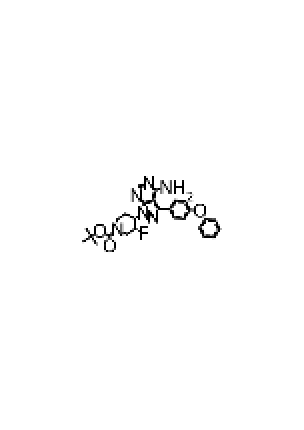 CC(C)(C)OC(=O)N1CC[C@@H](n2nc(-c3ccc(Oc4ccccc4)cc3)c3c(N)ncnc32)[C@@H](F)C1